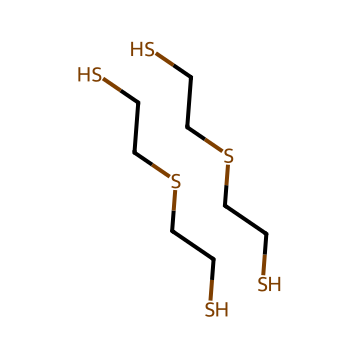 SCCSCCS.SCCSCCS